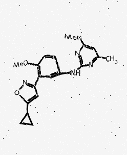 CNc1cc(C)nc(Nc2ccc(OC)c(-c3cc(C4CC4)on3)c2)n1